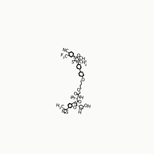 Cc1ncsc1-c1ccc(CN(C(=O)[C@@H]2C[C@@H](O)CN2)C(=O)[C@@H](NC(=O)COCCCCOc2ccc(-c3ccc(N4C(=S)N(c5ccc(C#N)c(C(F)(F)F)c5)C(=O)C4(C)C)cc3)cc2)C(C)C)cc1